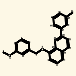 COc1cccc(COc2cccc3ccc(-c4cc(C)ccn4)nc23)c1